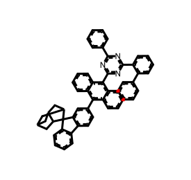 c1ccc(-c2nc(-c3ccccc3-c3ccccc3)nc(-c3c4ccccc4c(-c4ccc5c(c4)C4(c6ccccc6-5)C5CC6CC(C5)C4C6)c4ccccc34)n2)cc1